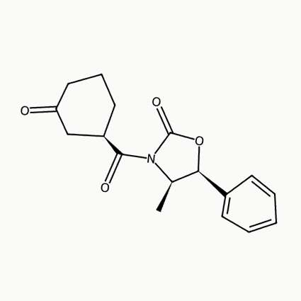 C[C@@H]1[C@H](c2ccccc2)OC(=O)N1C(=O)[C@@H]1CCCC(=O)C1